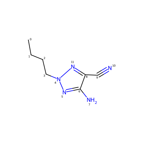 CCCCn1nc(N)c(C#N)n1